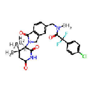 BN(Cc1ccc2c(c1)CN([C@@]1(B)C(=O)NC(=O)CC1(B)B)C2=O)C(=O)C(F)(F)c1ccc(Cl)cc1